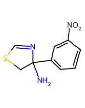 NC1(c2cccc([N+](=O)[O-])c2)CSC=N1